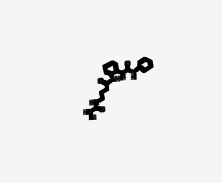 CCNC(=O)NCCCC(=O)Nc1ccccc1NC(=O)Nc1ccccc1